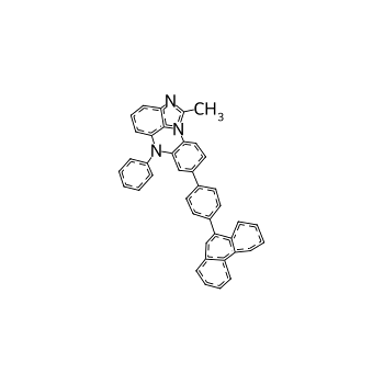 Cc1nc2cccc3c2n1-c1ccc(-c2ccc(-c4cc5ccccc5c5ccccc45)cc2)cc1N3c1ccccc1